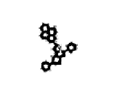 c1ccc(-c2ccc3cc(-c4ccccc4)n4nc(-c5cc6ccc7cccc8ccc(c5)c6c78)cc4c3c2)cc1